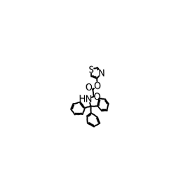 O=C(NC(c1ccccc1)(c1ccccc1)c1ccccc1)C(=O)Oc1cscn1